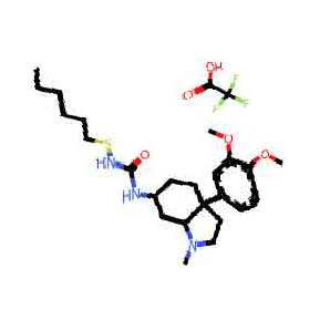 CCCCCCSNC(=O)NC1CCC2(c3ccc(OC)c(OC)c3)CCN(C)C2C1.O=C(O)C(F)(F)F